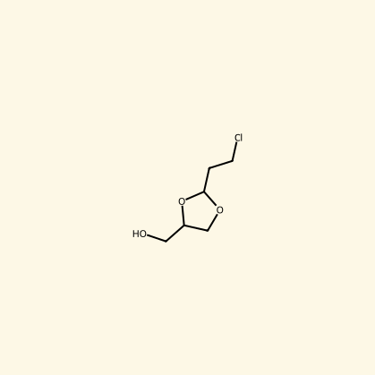 OCC1COC(CCCl)O1